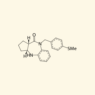 CSc1ccc(CN2C(=O)[C@H]3CCC[C@H]3Nc3ccccc32)cc1